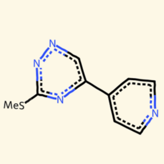 CSc1nncc(-c2ccncc2)n1